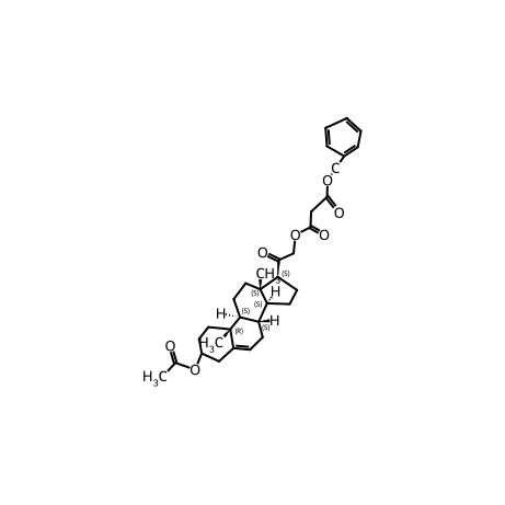 CC(=O)OC1CC[C@@]2(C)C(=CC[C@H]3[C@@H]4CC[C@H](C(=O)COC(=O)CC(=O)OCc5ccccc5)[C@@]4(C)CC[C@@H]32)C1